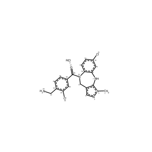 Cl.Cn1ncc2c1Nc1cc(Cl)ccc1N(C(=O)c1ccc(CN)c(Cl)c1)C2